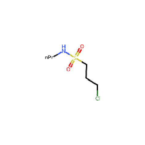 CCCNS(=O)(=O)CCCCl